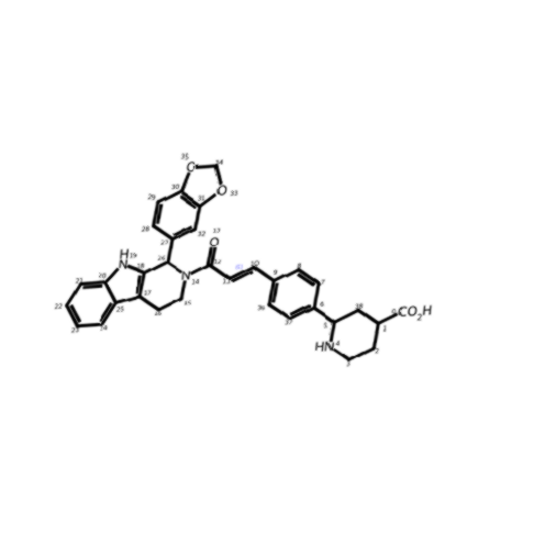 O=C(O)C1CCNC(c2ccc(/C=C/C(=O)N3CCc4c([nH]c5ccccc45)C3c3ccc4c(c3)OCO4)cc2)C1